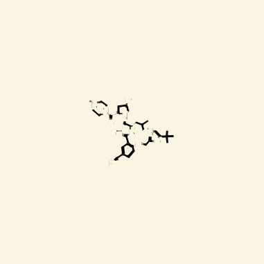 CC(C)C[C@@H](NC(=O)c1cc(C(F)(F)F)ccc1OCc1ncc(C(C)(C)C)o1)C(=O)N1C[C@@H](O)C[C@@H]1C(=O)N1CCN(C)CC1